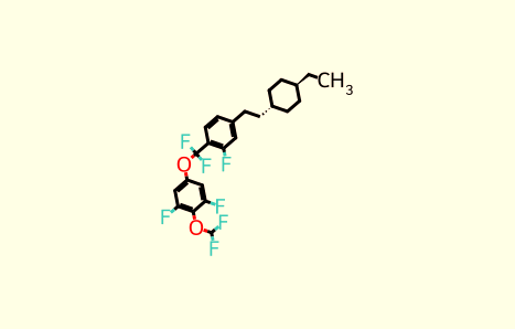 CC[C@H]1CC[C@H](CCc2ccc(C(F)(F)Oc3cc(F)c(OC(F)F)c(F)c3)c(F)c2)CC1